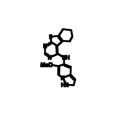 COC1=CN2NCC=C2C=C1Nc1ncnc2sc3c(c12)CCCC3